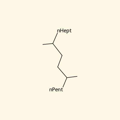 [CH2]CCCCCCC(C)CCC(C)CCCCC